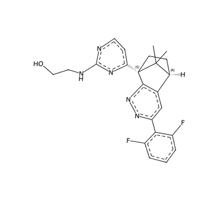 CC1(C)[C@H]2CC[C@]1(c1ccnc(NCCO)n1)c1nnc(-c3c(F)cccc3F)cc12